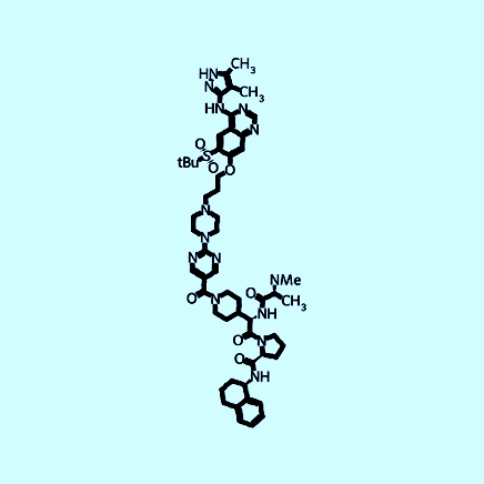 CN[C@@H](C)C(=O)N[C@H](C(=O)N1CCC[C@H]1C(=O)N[C@@H]1CCCc2ccccc21)C1CCN(C(=O)c2cnc(N3CCN(CCCOc4cc5ncnc(Nc6n[nH]c(C)c6C)c5cc4S(=O)(=O)C(C)(C)C)CC3)nc2)CC1